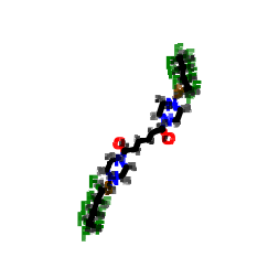 O=C(CCCCC(=O)N1CCN(SC(F)(F)C(F)(F)C(F)(F)C(F)(F)F)CC1)N1CCN(SC(F)C(F)(F)C(F)(F)C(F)(F)F)CC1